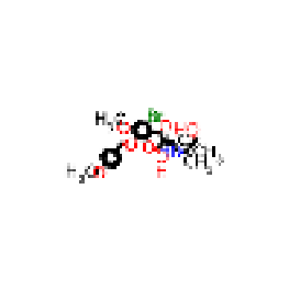 COc1ccc(COc2cc(C(=O)C(=CNC(C)C(C)(C)CO)C(=O)O)c(Br)cc2OC)cc1